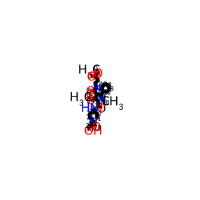 COC(=O)CCn1c(=O)c2c(c3ccccc31)N(C)C(C(=O)NC1CCN(C(=O)CO)CC1)C2OC